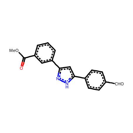 COC(=O)c1cccc(-c2cc(-c3ccc(C=O)cc3)[nH]n2)c1